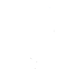 COC(=O)[C@H](C)[C@H](c1ccc2c(c1)C=C(c1ccc(-c3ccnc(OC)c3)cc1F)CC2)C1CC1